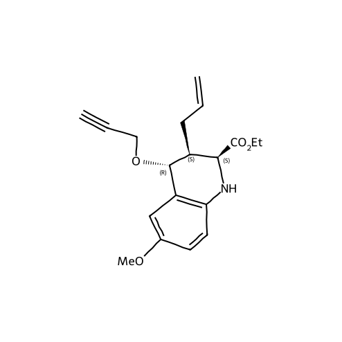 C#CCO[C@H]1c2cc(OC)ccc2N[C@H](C(=O)OCC)[C@@H]1CC=C